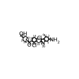 Cc1cc(N)cc2c1cc(Cc1c(Cl)ccc(C(=O)N3CCC(CO)CC3)c1Cl)n2C